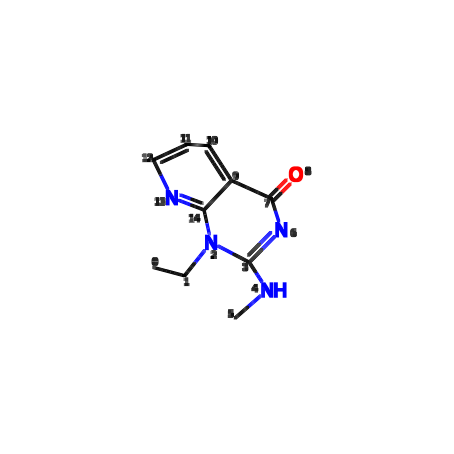 CCn1c(NC)nc(=O)c2cccnc21